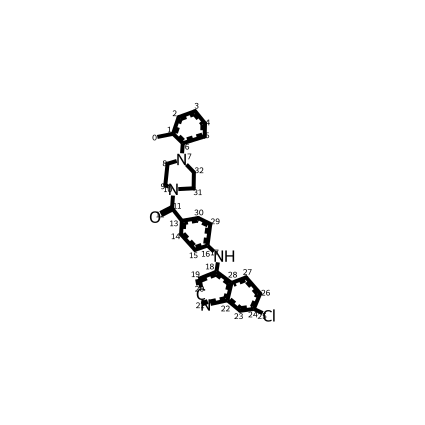 Cc1ccccc1N1CCN(C(=O)c2ccc(Nc3ccnc4cc(Cl)ccc34)cc2)CC1